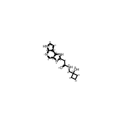 O=C(Cc1nc2cnc3[nH]ccc3c2[nH]1)NCC1(O)CCC1